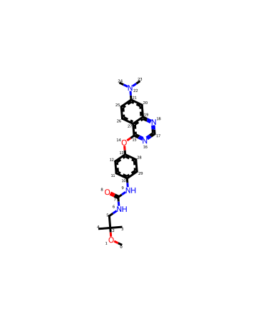 COC(C)(C)CNC(=O)Nc1ccc(Oc2ncnc3cc(N(C)C)ccc23)cc1